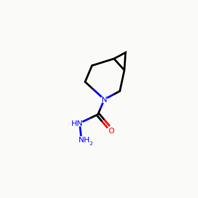 NNC(=O)N1CCC2CC2C1